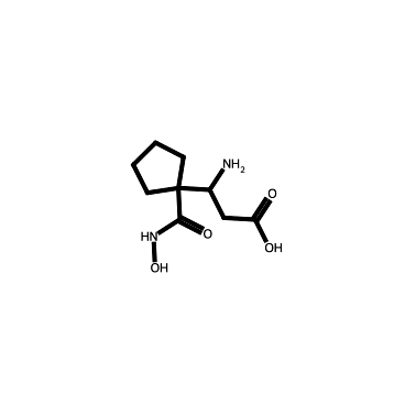 NC(CC(=O)O)C1(C(=O)NO)CCCC1